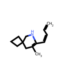 C=C/C=C\C1=C(C)CC2(CCC2)CN1